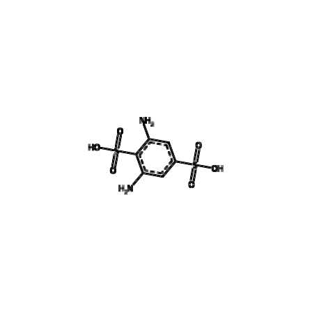 Nc1cc(S(=O)(=O)O)cc(N)c1S(=O)(=O)O